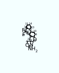 NC1=NC2(CO1)COc1ccc(-c3ccccc3C(F)(F)F)cc1C2